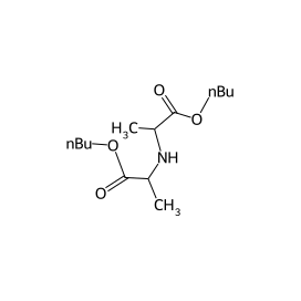 CCCCOC(=O)C(C)NC(C)C(=O)OCCCC